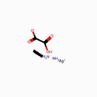 C=C.N.N.O=C([O-])C(=O)O.[Ag+]